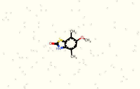 COc1cc(C)c2[nH]c(=O)sc2c1C